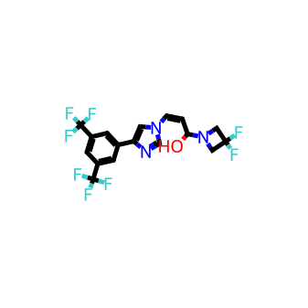 OC(/C=C\n1cnc(-c2cc(C(F)(F)F)cc(C(F)(F)F)c2)c1)N1CC(F)(F)C1